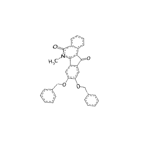 Cn1c2c(c3ccccc3c1=O)C(=O)c1cc(OCc3ccccc3)c(OCc3ccccc3)cc1-2